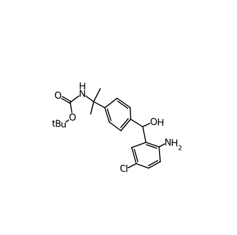 CC(C)(C)OC(=O)NC(C)(C)c1ccc(C(O)c2cc(Cl)ccc2N)cc1